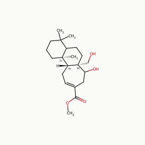 COC(=O)C1=CC[C@H]2[C@@](CO)(CCC3C(C)(C)CCC[C@@]32C)C(O)C1